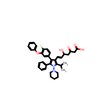 CC(C)c1c(/C=C/C(O)CC(=O)CC(=O)O)c(-c2ccc(F)c(Oc3ccccc3)c2)c(-c2ccccc2)n1N1CCCCC1